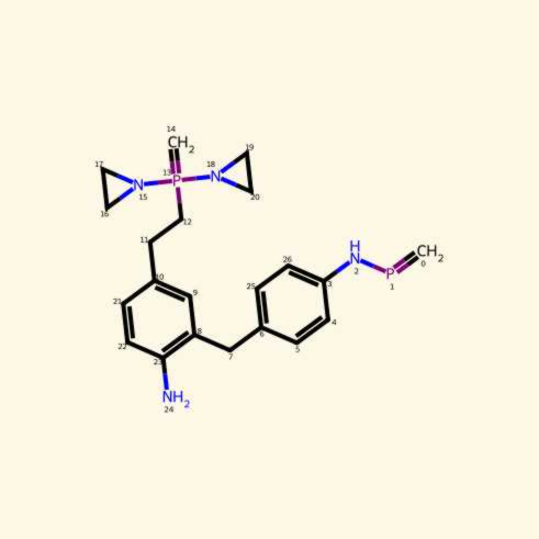 C=PNc1ccc(Cc2cc(CCP(=C)(N3CC3)N3CC3)ccc2N)cc1